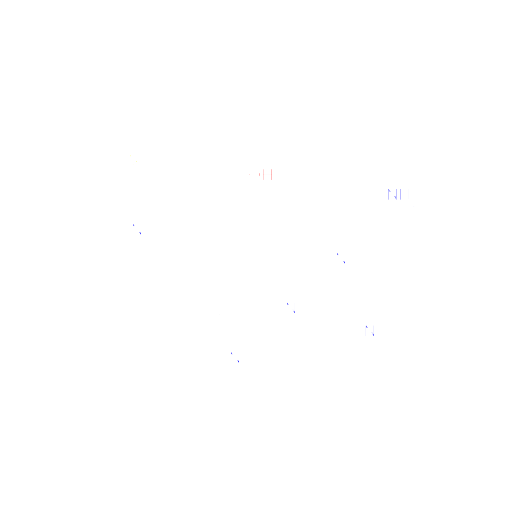 CC(O)(c1ccc2ncn(-c3nccc(N)n3)c2c1)c1nccs1